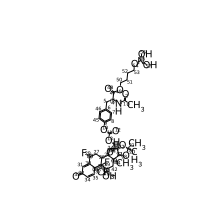 CC(=O)N[C@@H](Cc1ccc(OC(=O)OCC(=O)[C@@]23OC(C)(C)O[C@@H]2CC2C4C[C@H](F)C5=CC(=O)C=C[C@]5(C)[C@@]4(F)[C@@H](O)C[C@@]23C)cc1)C(=O)OCCCCON(O)O